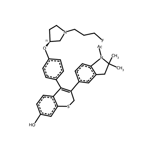 CC(=O)N1c2ccc(C3=C(c4ccc(O[C@H]5CCN(CCCF)C5)cc4)c4ccc(O)cc4SC3)cc2CC1(C)C